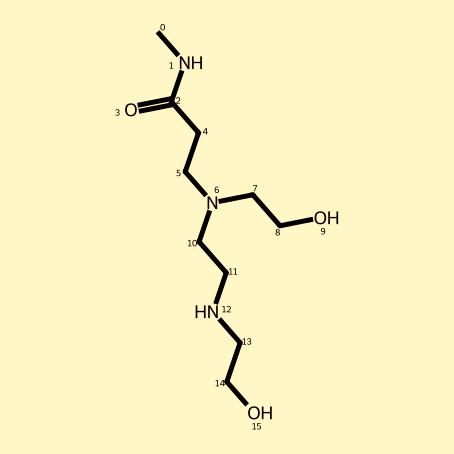 CNC(=O)CCN(CCO)CCNCCO